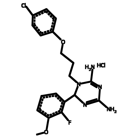 COc1cccc(C2N=C(N)N=C(N)N2CCCOc2ccc(Cl)cc2)c1F.Cl